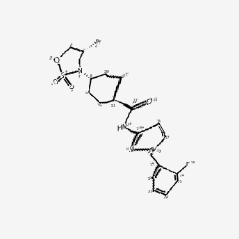 CC(C)[C@H]1COS(=O)(=O)N1[C@H]1CC[C@H](C(=O)Nc2ccn(-c3ccccc3F)n2)CC1